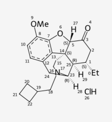 CC[C@H]1CC(=O)[C@H]2Oc3c(OC)ccc4c3[C@@]23CCN(CC2CCC2)[C@H](C4)[C@H]13.Cl